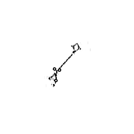 N=C(N)NCCC[C@@H](NC(=O)C(c1ccccc1)c1cccc(OCCOCCOCCOCCOCCNC(=O)CN2CCN(CC(=O)O)CCN(CC(=O)O)CCN(CC(=O)O)CC2)c1)C(=O)NCc1ccc(CNC(N)=O)cc1